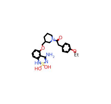 CCOc1ccc(CC(=O)N2CCCC(COc3cccc4c3C(N)=NS(O)(O)N4)C2)cc1